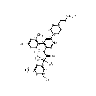 CCOC(=O)CCC1CC=C(c2cc(-c3ccc(F)cc3C)c(N(C)C(=O)C(C)(C)c3cc(C(F)(F)F)cc(C(F)(F)F)c3)cn2)CC1